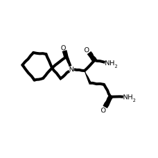 NC(=O)CC[C@H](C(N)=O)N1CC2(CCCCC2)C1=O